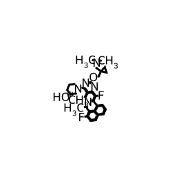 CCc1c(F)ccc2cccc(-c3ncc4c(N5CCC[C@@](C)(O)C5)nc(OCC5(CN(C)C)CC5)nc4c3F)c12